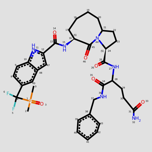 CP(C)(=O)C(F)(F)c1ccc2[nH]c(C(=O)N[C@H]3CCCCC4CC[C@@H](C(=O)NC(CCC(N)=O)C(=O)NCc5ccccc5)N4C3=O)cc2c1